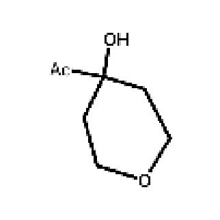 CC(=O)C1(O)CCOCC1